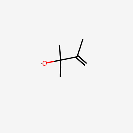 C=C(C)C(C)(C)[O]